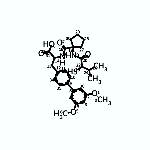 COc1cc(OC)cc(-c2ccc(CC(NC(=O)C3(NC(=O)C(S)C(C)C)CCCC3)C(=O)O)cc2)c1